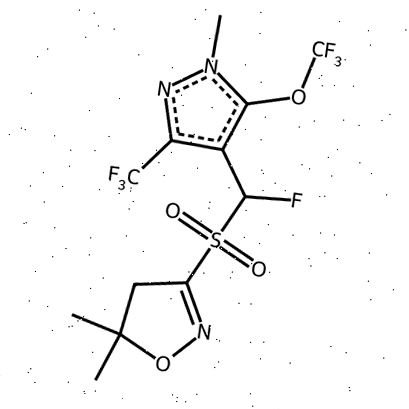 Cn1nc(C(F)(F)F)c(C(F)S(=O)(=O)C2=NOC(C)(C)C2)c1OC(F)(F)F